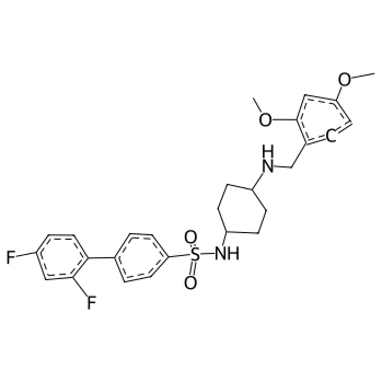 COc1ccc(CNC2CCC(NS(=O)(=O)c3ccc(-c4ccc(F)cc4F)cc3)CC2)c(OC)c1